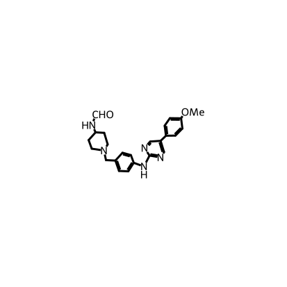 COc1ccc(-c2cnc(Nc3ccc(CN4CCC(NC=O)CC4)cc3)nc2)cc1